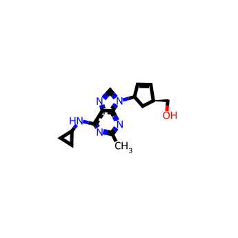 Cc1nc(NC2CC2)c2ncn(C3C=C[C@@H](CO)C3)c2n1